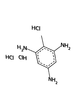 Cc1c(N)cc(N)cc1N.Cl.Cl.Cl